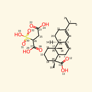 CC(C)C1=CC2=CCC3[C@](C)(C(=O)O)CCC[C@]3(C)[C@H]2CC1.O=C(O)CC(C(=O)O)S(=O)(=O)O